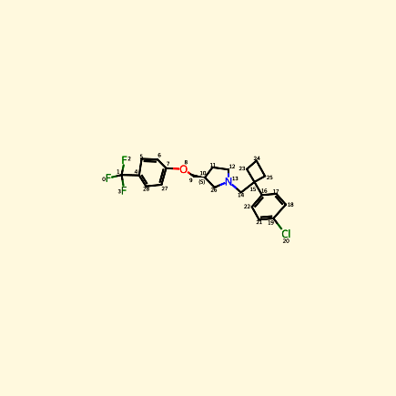 FC(F)(F)c1ccc(OC[C@H]2CCN(CC3(c4ccc(Cl)cc4)CCC3)C2)cc1